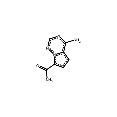 CC(=O)c1ccc2c(N)ncnn12